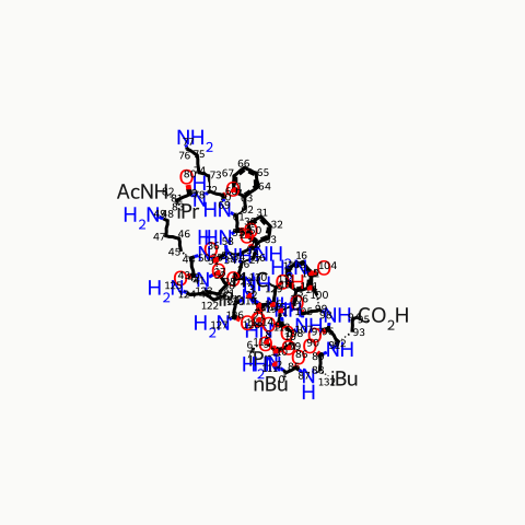 CCCC[C@H](NC(=O)[C@H](CC(C)C)NC(=O)[C@H](Cc1ccccc1)NC(=O)[C@@H](NC(=O)[C@H](Cc1ccccc1)NC(=O)[C@@H]1CCCN1C(=O)[C@H](CCCCN)NC(=O)[C@H](CC(N)=O)NC(=O)[C@H](Cc1ccccc1)NC(=O)[C@H](CCCCN)NC(=O)[C@@H](NC(C)=O)C(C)C)C(C)C)C(=O)N[C@H](C(=O)N[C@@H](CCC(=O)O)C(=O)N[C@@H](CCC(N)=O)C(=O)N[C@@H](CC(N)=O)C(=O)N[C@H](C(=O)N[C@@H](CCCCN)C(N)=O)[C@@H](C)O)[C@@H](C)CC